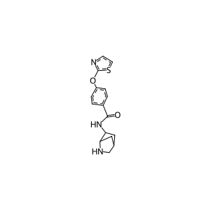 O=C(NC1CC2CNC1C2)c1ccc(Oc2nccs2)cc1